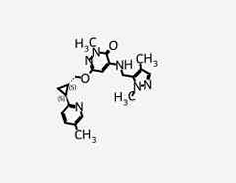 Cc1ccc([C@H]2C[C@@H]2COc2cc(NCc3c(C)cnn3C)c(=O)n(C)n2)nc1